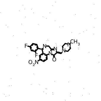 CN1CCN(/C=C2\N=C3CN=C(c4ccc(F)cc4F)c4cc([N+](=O)[O-])ccc4N3C2=O)CC1